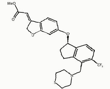 COC(=O)/C=C1\COc2cc(O[C@@H]3CCc4c3ccc(C(F)(F)F)c4CN3CCSCC3)ccc21